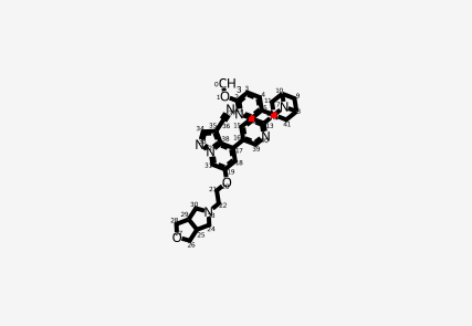 COc1ccc(CN2C3CC2CN(c2ccc(-c4cc(OCCN5CC6COCC6C5)cn5ncc(C#N)c45)cn2)C3)cn1